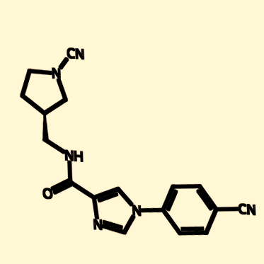 N#Cc1ccc(-n2cnc(C(=O)NC[C@H]3CCN(C#N)C3)c2)cc1